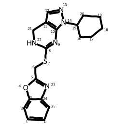 c1ccc2oc(CSC3=Nc4c(cnn4C4CCCCC4)CN3)nc2c1